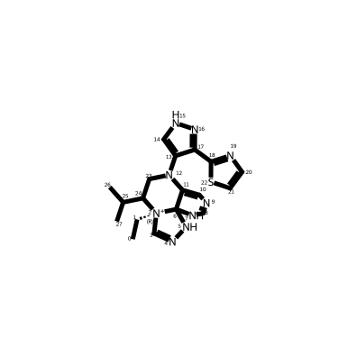 CC[N@@+]12C=NNC13NC=NC=C3N(c1c[nH]nc1-c1nccs1)CC2C(C)C